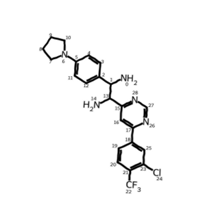 NC(c1ccc(N2CCCC2)cc1)C(N)c1cc(-c2ccc(C(F)(F)F)c(Cl)c2)ncn1